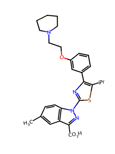 Cc1ccc2c(c1)c(C(=O)O)nn2-c1nc(-c2cccc(OCCN3CCCCC3)c2)c(C(C)C)s1